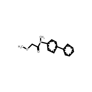 COCC(=O)N(C)c1ccc(-c2ccccc2)cc1